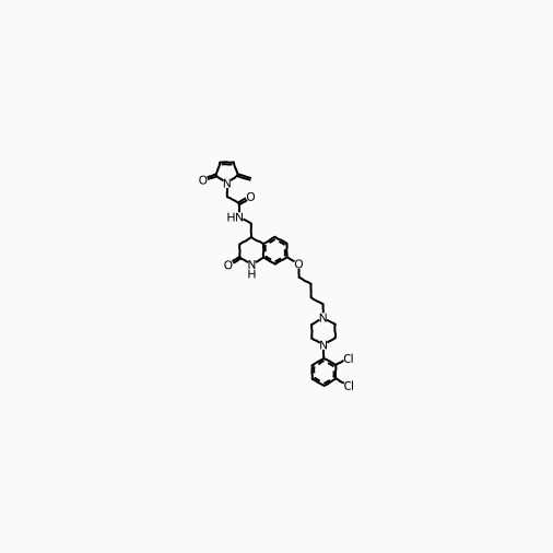 C=C1C=CC(=O)N1CC(=O)NCC1CC(=O)Nc2cc(OCCCCN3CCN(c4cccc(Cl)c4Cl)CC3)ccc21